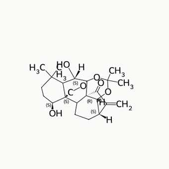 C=C1C(=O)[C@@]23C4CC[C@@H]1[C@H]2OC(C)(C)OC31OC[C@@]42C([C@@H]1O)C(C)(C)CC[C@@H]2O